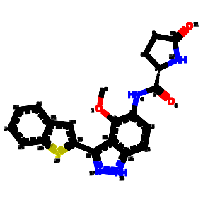 COc1c(NC(=O)[C@@H]2CCC(=O)N2)ccc2[nH]nc(-c3cc4ccccc4s3)c12